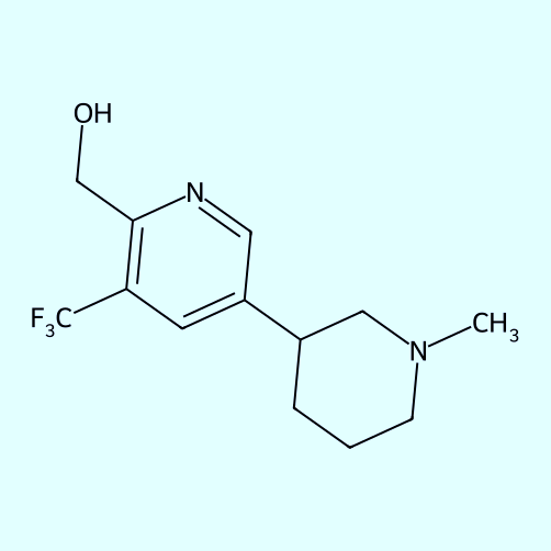 CN1CCCC(c2cnc(CO)c(C(F)(F)F)c2)C1